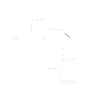 Cc1nc(C(C)C(=O)Nc2c(Cl)cccc2Cl)no1